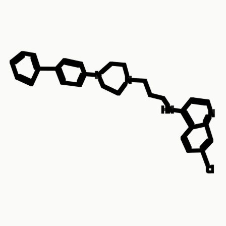 Clc1ccc2c(NCCCN3CCN(c4ccc(-c5ccccc5)cc4)CC3)ccnc2c1